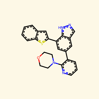 c1cnc(N2CCOCC2)c(-c2cc(-c3cc4ccccc4s3)c3[nH]ncc3c2)c1